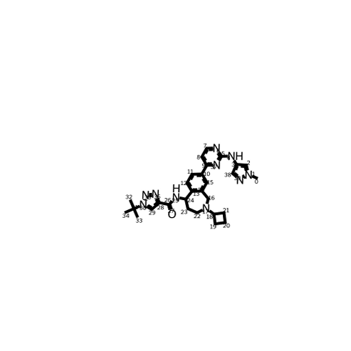 Cn1cc(Nc2nccc(-c3ccc4c(c3)CN(C3CCC3)CCC4NC(=O)c3cn(C(C)(C)C)nn3)n2)cn1